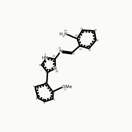 COc1ccccc1-c1c[nH]c(N=Cc2ccccc2N)n1